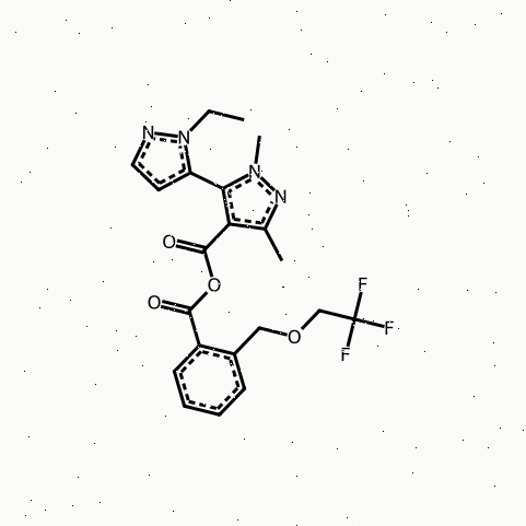 CCn1nccc1-c1c(C(=O)OC(=O)c2ccccc2COCC(F)(F)F)c(C)nn1C